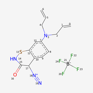 C=CCN(CC=C)c1ccc2c(c1)SNC(=O)C2[N+]#N.F[B-](F)(F)F